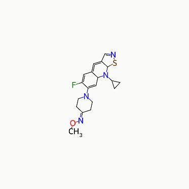 CON=C1CCN(C2=CC3C(=C=C4C=NSC4N3C3CC3)C=C2F)CC1